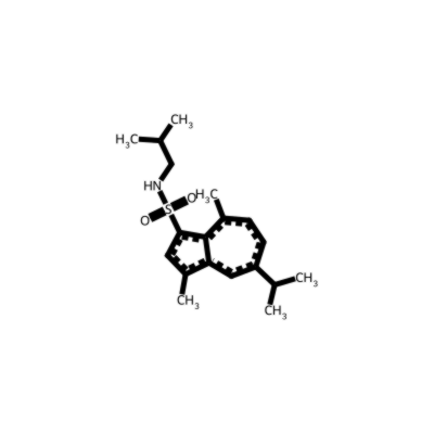 Cc1cc(S(=O)(=O)NCC(C)C)c2c(C)ccc(C(C)C)cc1-2